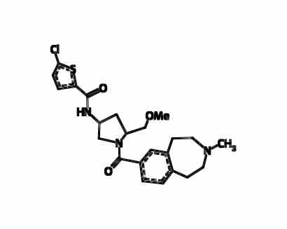 COCC1CC(NC(=O)c2ccc(Cl)s2)CN1C(=O)c1ccc2c(c1)CCN(C)CC2